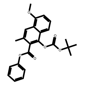 COc1cccc2c(OC(=O)OC(C)(C)C)c(C(=O)Oc3ccccc3)c(C)cc12